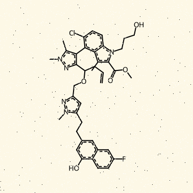 C=CCC(OCc1cc(CCc2cc(O)c3ccc(F)cc3c2)n(C)n1)c1nn(C)c(C)c1-c1c(Cl)ccc2c1c(C)c(C(=O)OC)n2CCCO